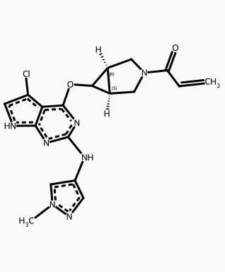 C=CC(=O)N1C[C@@H]2C(Oc3nc(Nc4cnn(C)c4)nc4[nH]cc(Cl)c34)[C@@H]2C1